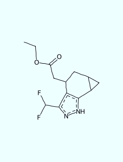 CCOC(=O)CC1CC2CC2c2[nH]nc(C(F)F)c21